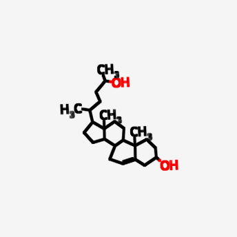 CC(O)CCC(C)C1CCC2C3CC=C4CC(O)CCC4(C)C3CCC12C